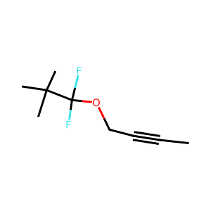 CC#CCOC(F)(F)C(C)(C)C